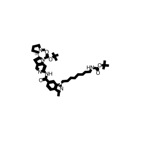 Cc1nn(CCCCCCCCNC(=O)OC(C)(C)C)c2cc(C(=O)Nc3cc4c(cn3)cc([C@@H]3CCCN3C)n4C(=O)OC(C)(C)C)ccc12